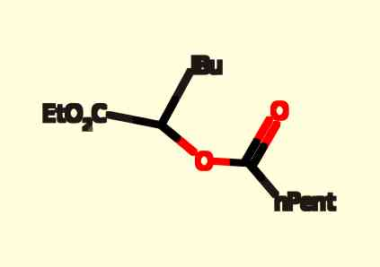 CCCCCC(=O)OC(C(=O)OCC)C(C)CC